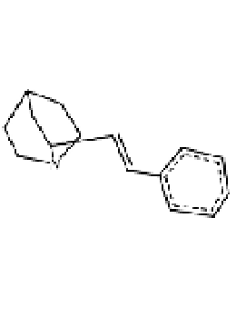 C(=CC1CC2CCN1CC2)c1ccccc1